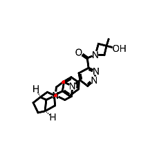 CC1(O)CN(C(=O)c2cc(N3CCN(C4[C@@H]5CC[C@H]4CC(c4ccccc4)C5)CC3)cnn2)C1